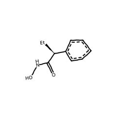 [CH2]C[C@H](C(=O)NO)c1ccccc1